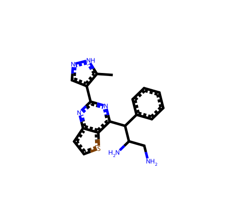 Cc1[nH]ncc1-c1nc(C(c2ccccc2)C(N)CN)c2sccc2n1